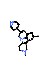 Cc1cc2c3c(c1)c1c(n3CC(c3ccncc3)=C2)CCN(C)C1